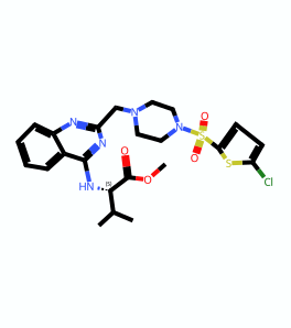 COC(=O)[C@@H](Nc1nc(CN2CCN(S(=O)(=O)c3ccc(Cl)s3)CC2)nc2ccccc12)C(C)C